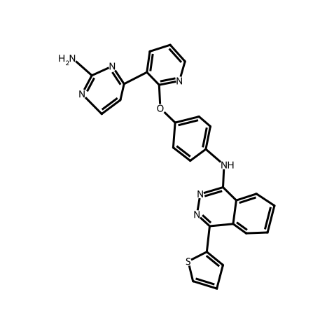 Nc1nccc(-c2cccnc2Oc2ccc(Nc3nnc(-c4cccs4)c4ccccc34)cc2)n1